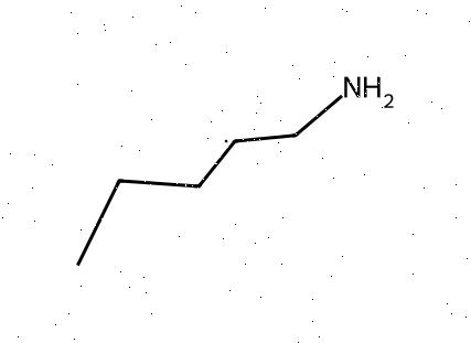 CCC[CH]CN